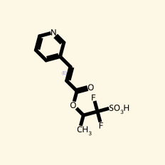 CC(OC(=O)/C=C/c1cccnc1)C(F)(F)S(=O)(=O)O